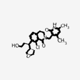 Cc1cc(C)c(CN2CCc3ccc([C@H](CCO)[C@@H]4CCOC4)c(Cl)c3C2=O)c(=O)[nH]1